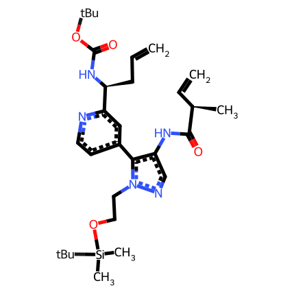 C=CC[C@H](NC(=O)OC(C)(C)C)c1cc(-c2c(NC(=O)[C@H](C)C=C)cnn2CCO[Si](C)(C)C(C)(C)C)ccn1